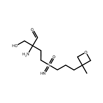 CC1(CCCS(=N)(=O)CCC(N)(C=O)CO)COC1